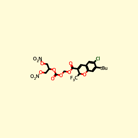 CC(C)(C)c1cc2c(cc1Cl)C=C(C(=O)OCOC(=O)OC(CO[N+](=O)[O-])CO[N+](=O)[O-])C(C(F)(F)F)O2